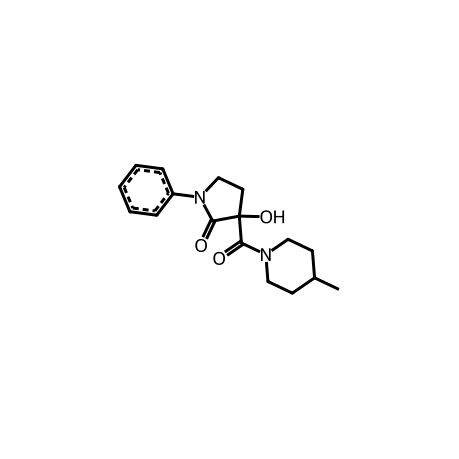 CC1CCN(C(=O)C2(O)CCN(c3ccccc3)C2=O)CC1